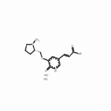 CCCC(=O)C=Cc1c[nH]c(=O)c(OC[C@@H]2CCCN2C)c1.Cl.Cl